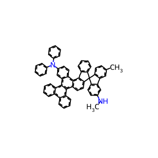 CNc1ccc2c(c1)-c1cc(C)ccc1C21c2ccccc2-c2c1ccc1c2c2ccc(N(c3ccccc3)c3ccccc3)cc2c2c3ccccc3c3ccccc3c12